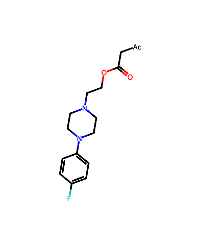 CC(=O)CC(=O)OCCN1CCN(c2ccc(F)cc2)CC1